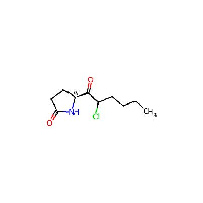 CCCCC(Cl)C(=O)[C@@H]1CCC(=O)N1